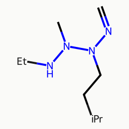 C=NN(CCC(C)C)N(C)NCC